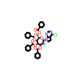 O=C(OC[C@H]1O[C@@H](n2ccc3c(Cl)ncnc32)[C@@H](F)[C@H](OC(=O)c2ccccc2)[C@H](OC(=O)c2ccccc2)[C@@H]1OC(=O)c1ccccc1)c1ccccc1